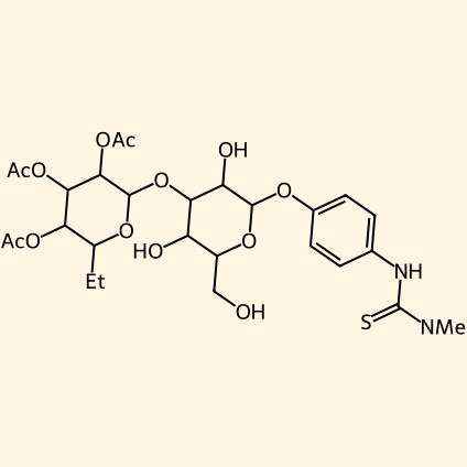 CCC1OC(OC2C(O)C(CO)OC(Oc3ccc(NC(=S)NC)cc3)C2O)C(OC(C)=O)C(OC(C)=O)C1OC(C)=O